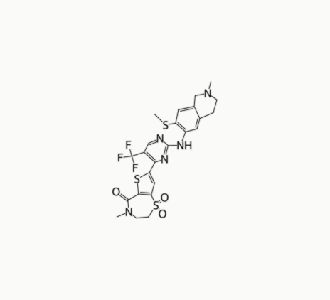 CSc1cc2c(cc1Nc1ncc(C(F)(F)F)c(-c3cc4c(s3)C(=O)N(C)CCS4(=O)=O)n1)CCN(C)C2